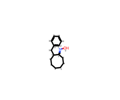 ON=C1CCCCCCC1Cc1ccccc1